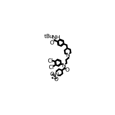 CC(C)(C)NC(=O)c1ccc(CC2CCN(CCCN(C(=O)C3CCN(S(C)(=O)=O)CC3)c3ccc(Cl)c(Cl)c3)CC2)cc1